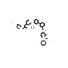 C=CC([C@H]1CC[C@H](O)CC1)n1ccc2oc(-c3cccc(-c4cccc(Nc5nccc6cc(CN7CC[C@@H](O)C7)cnc56)c4C)c3C)nc2c1=O